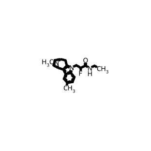 CCNC(=O)C(F)Cn1c2c(c3cc(C)ccc31)C1CCC(C2)N1C